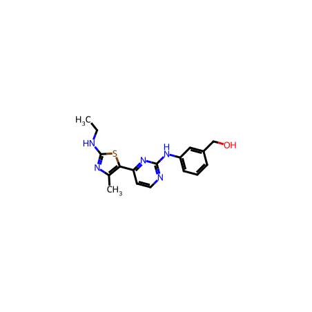 CCNc1nc(C)c(-c2ccnc(Nc3cccc(CO)c3)n2)s1